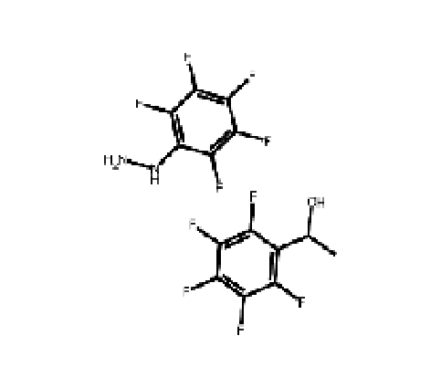 CC(O)c1c(F)c(F)c(F)c(F)c1F.NNc1c(F)c(F)c(F)c(F)c1F